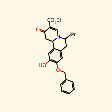 CCOC(=O)C1=CN2C(CC1=O)c1cc(O)c(OCc3ccccc3)cc1CC2C(C)C